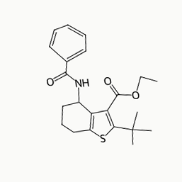 CCOC(=O)c1c(C(C)(C)C)sc2c1C(NC(=O)c1ccccc1)CCC2